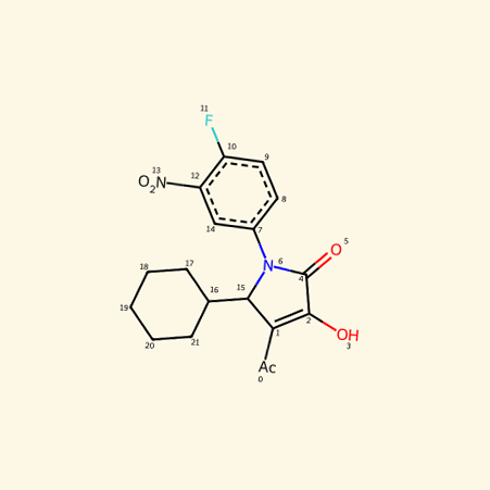 CC(=O)C1=C(O)C(=O)N(c2ccc(F)c([N+](=O)[O-])c2)C1C1CCCCC1